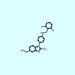 OCc1ccc2c(c1)nc(C(F)(F)F)n2-c1ccc(NCc2c(F)cccc2F)cc1